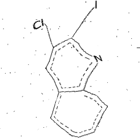 Clc1cc2ccccc2nc1I